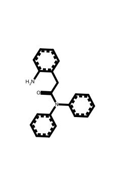 Nc1ccccc1CC(=O)N(c1ccccc1)c1ccccc1